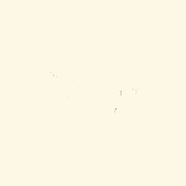 CCCC(=O)CCC(C)CCCC(C)C